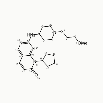 COCCSN1CCC(Nc2ncc3ccc(=O)n(C4CCCC4)c3n2)CC1